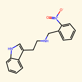 O=[N+]([O-])c1ccccc1CNCCc1c[nH]c2ccccc12